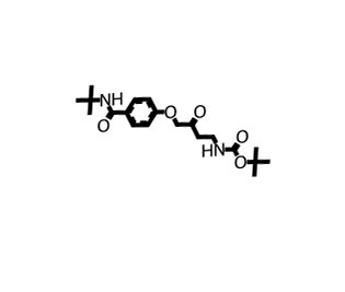 CC(C)(C)NC(=O)c1ccc(OCC(=O)CCNC(=O)OC(C)(C)C)cc1